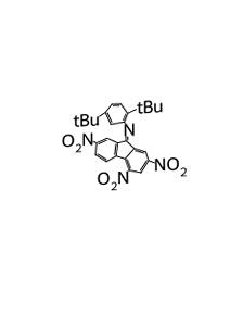 CC(C)(C)c1ccc(C(C)(C)C)c(N=C2c3cc([N+](=O)[O-])ccc3-c3c2cc([N+](=O)[O-])cc3[N+](=O)[O-])c1